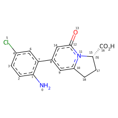 Nc1ccc(Cl)cc1-c1cc2n(c(=O)c1)[C@H](C(=O)O)CC2